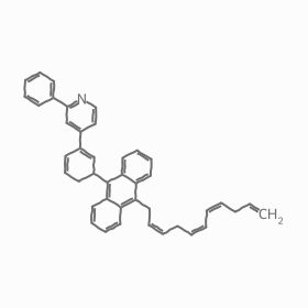 C=CC/C=C\C=C/C/C=C\Cc1c2ccccc2c(C2C=C(c3ccnc(-c4ccccc4)c3)C=CC2)c2ccccc12